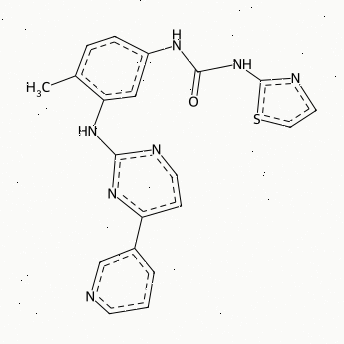 Cc1ccc(NC(=O)Nc2nccs2)cc1Nc1nccc(-c2cccnc2)n1